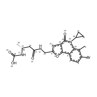 Cc1c(Br)ccc2c3oc(CNC(=O)C[C@@H](C)NC(=O)O)nc3c(=O)n(C3CC3)c12